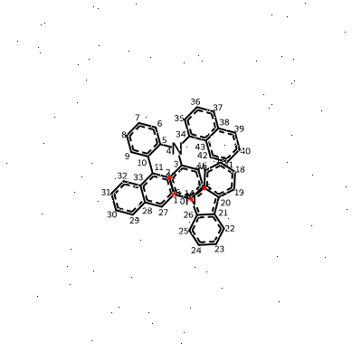 c1ccc(N(c2ccccc2-c2cc(-n3c4ccccc4c4ccccc43)cc3ccccc23)c2cccc3ccccc23)cc1